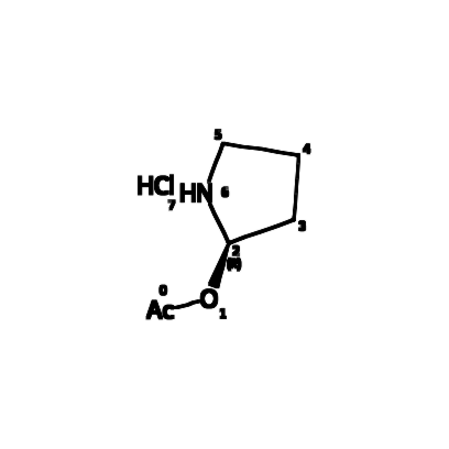 CC(=O)O[C@@H]1CCCN1.Cl